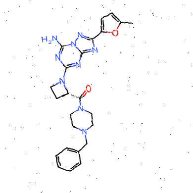 Cc1ccc(-c2nc3nc(N4CC[C@H]4C(=O)N4CCN(Cc5ccccc5)CC4)nc(N)n3n2)o1